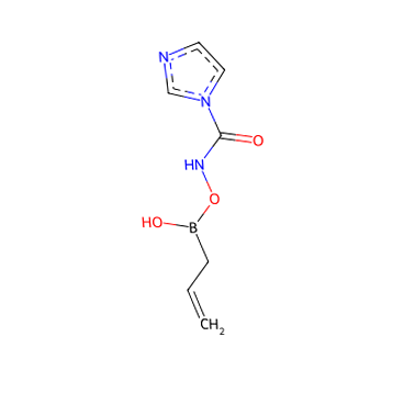 C=CCB(O)ONC(=O)n1ccnc1